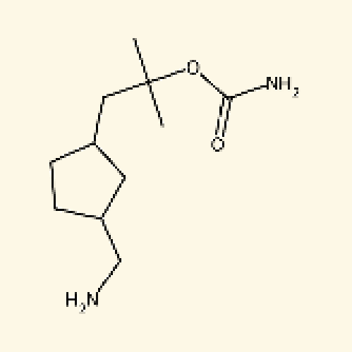 CC(C)(CC1CCC(CN)C1)OC(N)=O